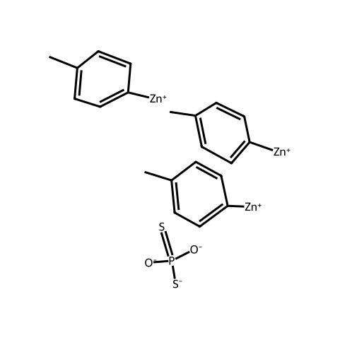 Cc1cc[c]([Zn+])cc1.Cc1cc[c]([Zn+])cc1.Cc1cc[c]([Zn+])cc1.[O-]P([O-])(=S)[S-]